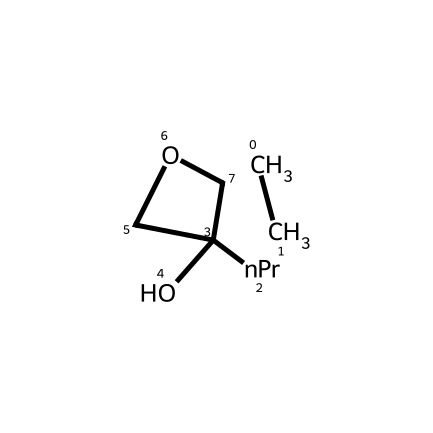 CC.CCCC1(O)COC1